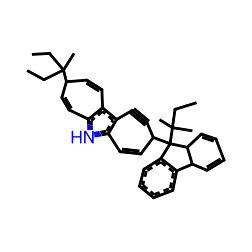 CCC(C)(CC)C1C=Cc2[nH]c3c(c2C=C1)C#CC(C1(C(C)(C)CC)c2ccccc2C2C=CC=CC21)C=C3